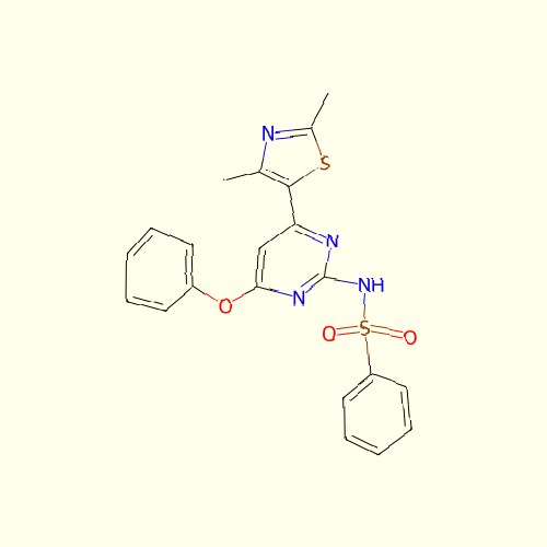 Cc1nc(C)c(-c2cc(Oc3ccccc3)nc(NS(=O)(=O)c3ccccc3)n2)s1